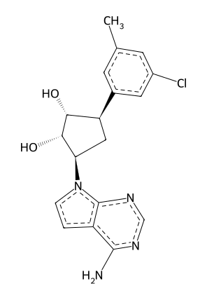 Cc1cc(Cl)cc([C@H]2C[C@@H](n3ccc4c(N)ncnc43)[C@H](O)[C@@H]2O)c1